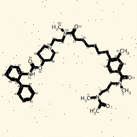 CC(=O)N(C)CCCN(C)C(=O)c1ccc(CCCCCCC(=O)N(C)CCN2CCC(OC(=O)Nc3ccccc3-c3ccccc3)CC2)c(C)c1